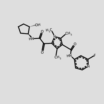 Cc1c(C(=O)Nc2ccnc(F)c2)c(C)n(C)c1C(=O)C(=O)N[C@H]1CCC[C@@H]1O